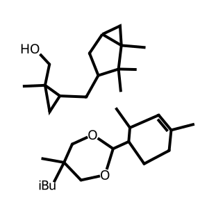 CC1(CO)CC1CC1CC2CC2(C)C1(C)C.CCC(C)C1(C)COC(C2CCC(C)=CC2C)OC1